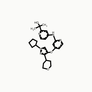 CC(C)(O)c1cc(Nc2cc(Oc3cn(C4CCCC4)nc3C3CCOCC3)ccn2)ccn1